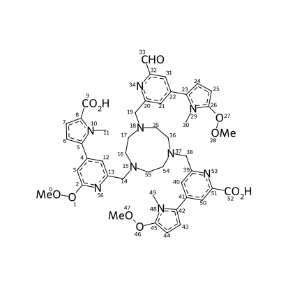 COOc1cc(-c2ccc(C(=O)O)n2C)cc(CN2CCN(Cc3cc(-c4ccc(OOC)n4C)cc(C=O)n3)CCN(Cc3cc(-c4ccc(OOC)n4C)cc(C(=O)O)n3)CC2)n1